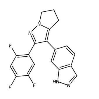 Fc1cc(F)c(-c2nn3c(c2-c2ccc4cn[nH]c4c2)CCC3)cc1F